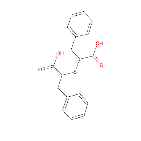 O=C(O)C(Cc1ccccc1)SC(Cc1ccccc1)C(=O)O